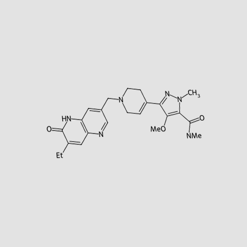 CCc1cc2ncc(CN3CC=C(c4nn(C)c(C(=O)NC)c4OC)CC3)cc2[nH]c1=O